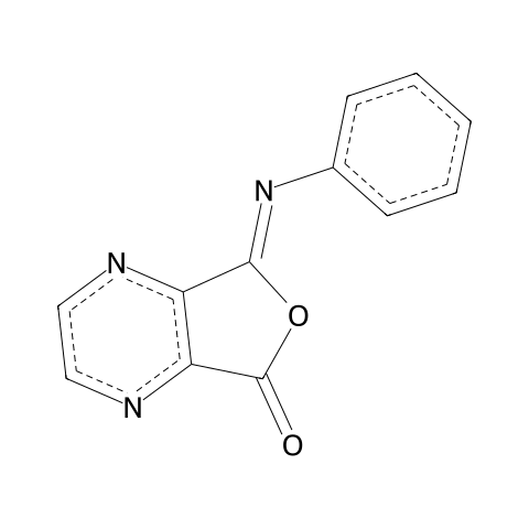 O=C1OC(=Nc2ccccc2)c2nccnc21